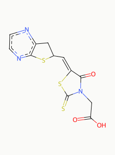 O=C(O)CN1C(=O)C(=CC2Cc3nccnc3S2)SC1=S